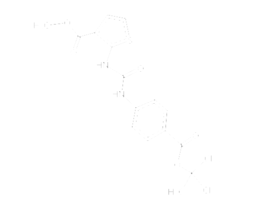 COC(=O)c1ccsc1NC(=O)Nc1ccc(C(=O)OC(C)(C)C)cc1